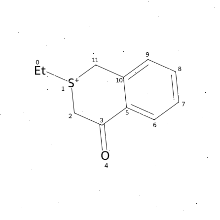 CC[S+]1CC(=O)c2ccccc2C1